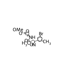 COC(=O)[C@H]1C[C@@H](NC(=O)C2(C)CC(c3cc(C)cc(Br)c3)=NO2)CO1